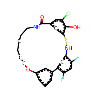 O=C1NCCCCCCOc2cccc(c2)-c2cc(c(F)cc2F)NSc2cc1cc(Cl)c2O